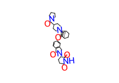 O=C1CCC(N2Cc3cc(O[C@@H]4CCCC[C@@H]4N4CCC(C(=O)N5CCCC5)CC4)ccc3C2=O)C(=O)N1